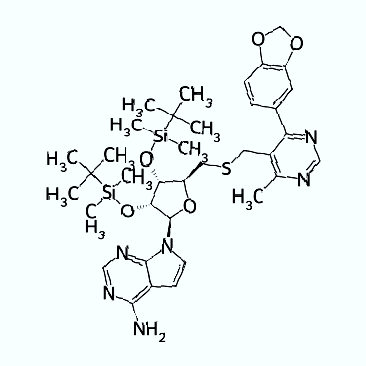 Cc1ncnc(-c2ccc3c(c2)OCO3)c1CSC[C@H]1O[C@@H](n2ccc3c(N)ncnc32)[C@H](O[Si](C)(C)C(C)(C)C)[C@@H]1O[Si](C)(C)C(C)(C)C